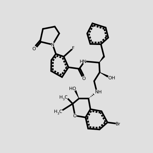 CC1(C)Oc2ccc(Br)cc2[C@@H](NC[C@H](O)[C@H](Cc2ccccc2)NC(=O)c2cccc(N3CCCC3=O)c2F)[C@@H]1O